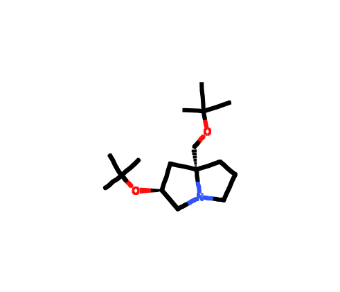 CC(C)(C)OC[C@]12CCCN1C[C@@H](OC(C)(C)C)C2